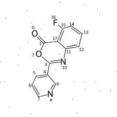 O=c1oc(-c2cccnc2)nc2cccc(F)c12